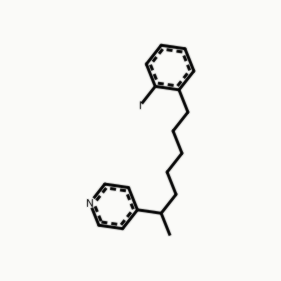 CC(CCCCCc1ccccc1I)c1ccncc1